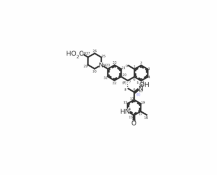 Cc1ccccc1[C@H](C/C(=N\O)c1c[nH]c(=O)c(C)c1)c1ccc(N2CCC(C(=O)O)CC2)cc1